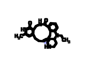 CCN(c1cccc2c1C/C=C\CCc1cc(C)[nH]c(=O)c1CNC2=O)C1CCNCC1